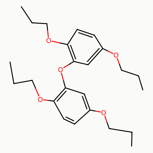 CCCOc1ccc(OCCC)c(Oc2cc(OCCC)ccc2OCCC)c1